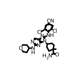 CC1(C(N)=O)CCC(n2c(Nc3c(Cl)cc(C#N)cc3Cl)nc3cnc(NC4CCOCC4)nc32)CC1